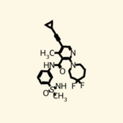 Cc1c(C#CC2CC2)cnc(N2CCCC(F)(F)CC2)c1C(=O)Nc1cccc(S(C)(=N)=O)c1